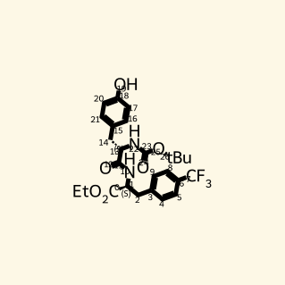 CCOC(=O)[C@H](Cc1ccc(C(F)(F)F)cc1)NC(=O)[C@H](Cc1ccc(O)cc1)NC(=O)OC(C)(C)C